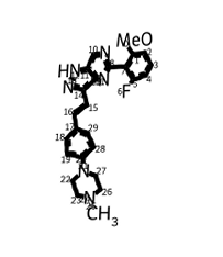 COc1cccc(F)c1-c1ncc2[nH]nc(C=Cc3ccc(N4CCN(C)CC4)cc3)c2n1